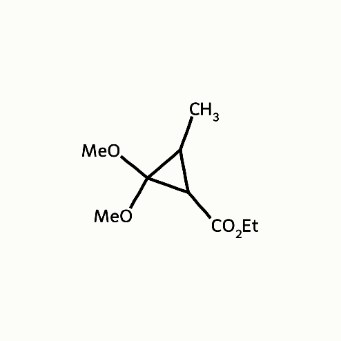 CCOC(=O)C1C(C)C1(OC)OC